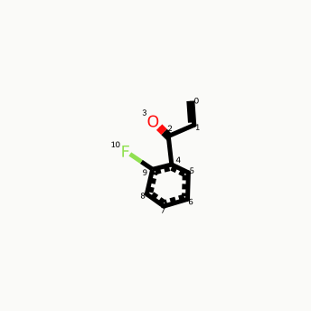 C=CC(=O)c1ccccc1F